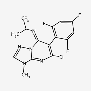 CC(N=c1c(-c2c(F)cc(F)cc2F)c(Cl)nc2n(C)cnn12)C(F)(F)F